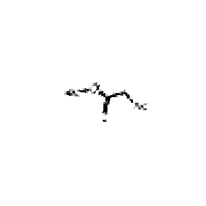 CCCCOC(=O)[CH]C(C)=O